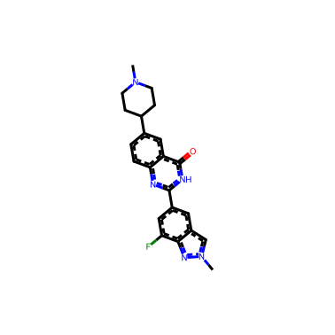 CN1CCC(c2ccc3nc(-c4cc(F)c5nn(C)cc5c4)[nH]c(=O)c3c2)CC1